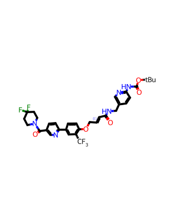 CC(C)(C)OC(=O)Nc1ccc(CNC(=O)/C=C/COc2ccc(-c3ccc(C(=O)N4CCC(F)(F)CC4)cn3)cc2C(F)(F)F)cn1